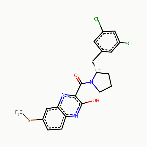 O=C(c1nc2cc(SC(F)(F)F)ccc2nc1O)N1CCC[C@H]1Cc1cc(Cl)cc(Cl)c1